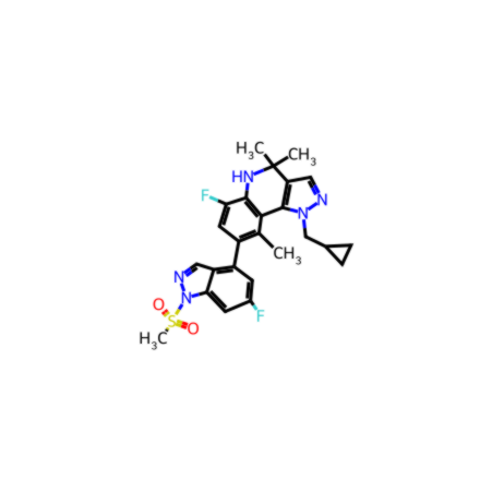 Cc1c(-c2cc(F)cc3c2cnn3S(C)(=O)=O)cc(F)c2c1-c1c(cnn1CC1CC1)C(C)(C)N2